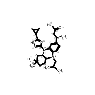 CC(C)CN(c1ccc([C@H](C)CC(=O)O)cc1Nc1n[nH]c(C2CC2)n1)C1CCC(C)(C)CC1